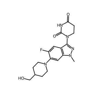 Cn1nc(N2CCC(=O)NC2=O)c2cc(F)c(N3CCC(CO)CC3)cc21